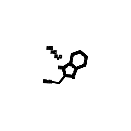 CNCc1nc2ccccc2[nH]1.Cl.Cl.O